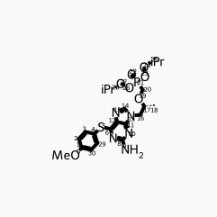 COc1ccc(Sc2nc(N)nc3c2ncn3C[C@@H](C)OCP(=O)(OOC(C)C)OOC(C)C)cc1